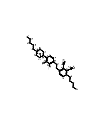 CCCCCc1ccc(CCc2ccc(C34CCC(CCCCC)(CC3)CC4)c(F)c2F)c(C#N)c1C#N